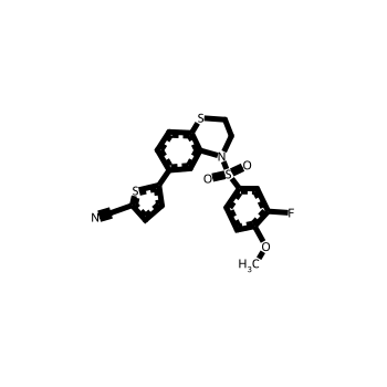 COc1ccc(S(=O)(=O)N2CCSc3ccc(-c4ccc(C#N)s4)cc32)cc1F